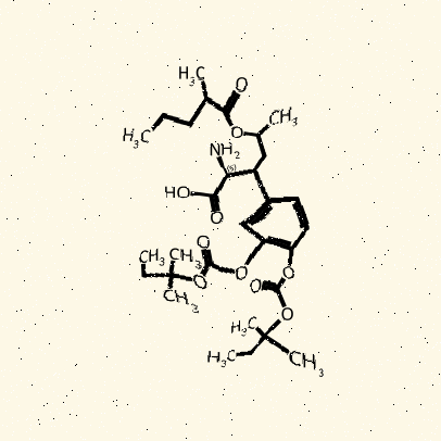 CCCC(C)C(=O)OC(C)CC(c1ccc(OC(=O)OC(C)(C)CC)c(OC(=O)OC(C)(C)CC)c1)[C@H](N)C(=O)O